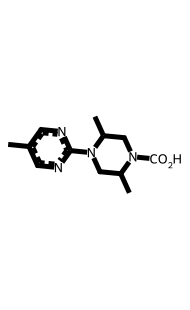 Cc1cnc(N2CC(C)N(C(=O)O)CC2C)nc1